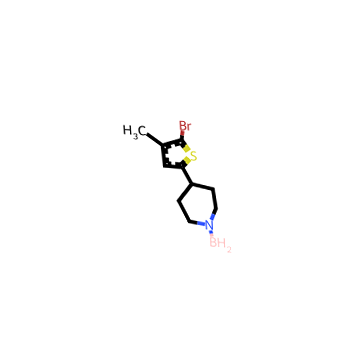 BN1CCC(c2cc(C)c(Br)s2)CC1